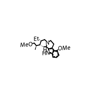 CC[C@@H]1CN2CCc3c([nH]c4cccc(OC)c34)[C@@H]2C[C@@H]1[C@@H](C)COC